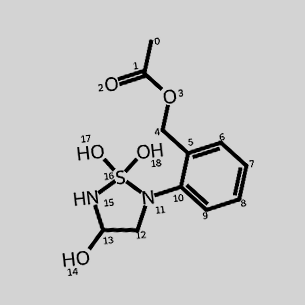 CC(=O)OCc1ccccc1N1CC(O)NS1(O)O